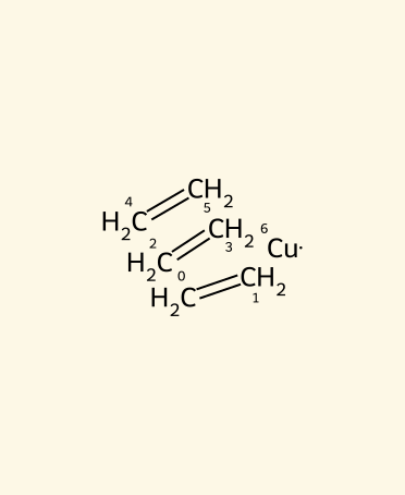 C=C.C=C.C=C.[Cu]